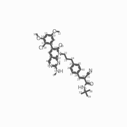 CNc1ncc2cc(-c3cc(OC)cc(OC)c3Cl)c(=O)n(CCCc3ccc(/C=C(\C#N)C(=O)NC(C)(C)C)cc3)c2n1